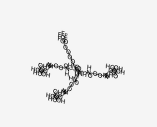 O=C(CCOCCOCCn1cc(CCO[C@@H]2O[C@H](CO)[C@H](O)[C@H](O)[C@H]2O)nn1)NCCCC[C@@H](NC(=O)CCCNC(=O)CCOCCOCCn1cc(CCO[C@@H]2O[C@H](CO)[C@H](O)[C@H](O)[C@H]2O)nn1)C(=O)N[C@H](CCCCNC(=O)CCOCCOCCn1cc(CCO[C@@H]2O[C@H](CO)[C@H](O)[C@H](O)[C@H]2O)nn1)C(=O)NCCOCCOCCOCCOCCC(=O)Oc1c(F)c(F)c(F)c(F)c1F